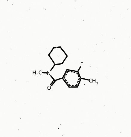 Cc1ccc(C(=O)N(C)C2CCCCC2)cc1F